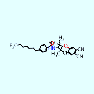 CC1(C)[C@H](NC(=O)c2ccc(CCCCCCC(F)(F)F)cc2)C(C)(C)[C@H]1Oc1ccc(C#N)c(C#N)c1